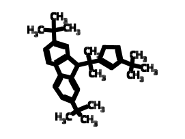 CC(C)(C)C1=CCC(C(C)(C)C2c3cc(C(C)(C)C)ccc3-c3ccc(C(C)(C)C)cc32)=C1